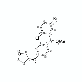 COC(c1ccc(O[C@H]2CCOC2)cc1)c1cc(Br)ccc1Cl